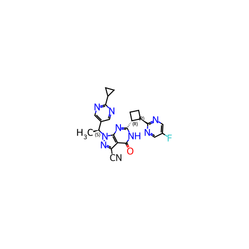 C[C@@H](c1cnc(C2CC2)nc1)n1nc(C#N)c2c(=O)[nH]c([C@@H]3CC[C@H]3c3ncc(F)cn3)nc21